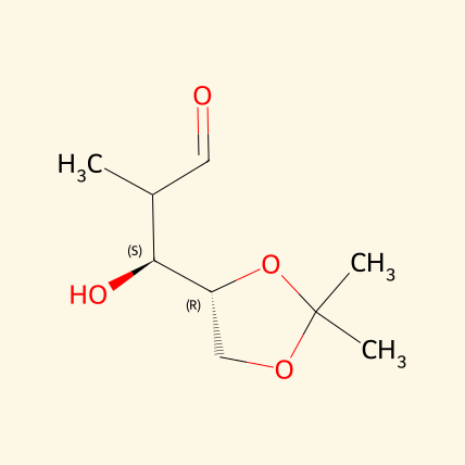 CC(C=O)[C@H](O)[C@H]1COC(C)(C)O1